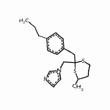 CCCc1ccc(CC2(Cn3ccnc3)SCCC(C)S2)cc1